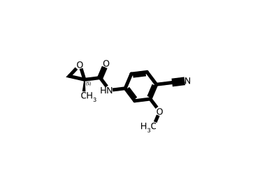 COc1cc(NC(=O)[C@]2(C)CO2)ccc1C#N